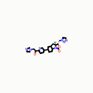 O=C(Cn1ccnc1)c1ccc(-c2ccc3c(c2)C[C@H]2[C@H](Cn4ccnn4)OC(=O)N32)cn1